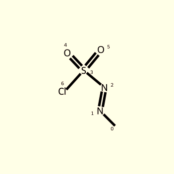 CN=NS(=O)(=O)Cl